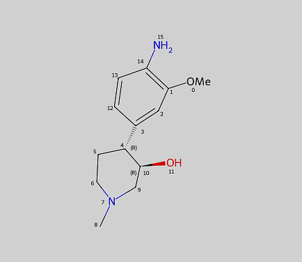 COc1cc([C@H]2CCN(C)C[C@@H]2O)ccc1N